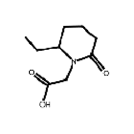 CCC1CCCC(=O)N1CC(=O)O